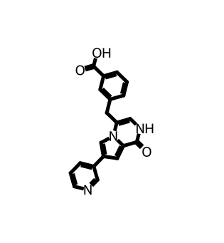 O=C(O)c1cccc(Cc2c[nH]c(=O)c3cc(-c4cccnc4)cn23)c1